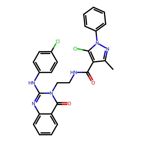 Cc1nn(-c2ccccc2)c(Cl)c1C(=O)NCCn1c(Nc2ccc(Cl)cc2)nc2ccccc2c1=O